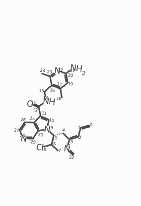 C=C/C=C(\C[C@H](C(C)Cl)n1cc(C(=O)NCc2c(C)cc(N)nc2C)c2ccncc21)N=C